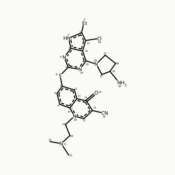 CCc1[nH]c2nc(Sc3ccc4c(c3)c(=O)c(C#N)cn4CCN(C)C)nc(N3CCC(N)C3)c2c1Cl